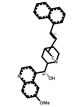 COc1ccc2nccc([C@@H](O)C3CC4CCN3CC4/C=C/c3cccc4ccccc34)c2c1